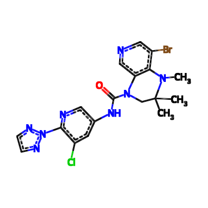 CN1c2c(Br)cncc2N(C(=O)Nc2cnc(-n3nccn3)c(Cl)c2)CC1(C)C